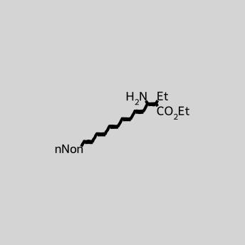 CCCCCCCCCC=CC=CC=CC=CC=CC(N)=C(CC)C(=O)OCC